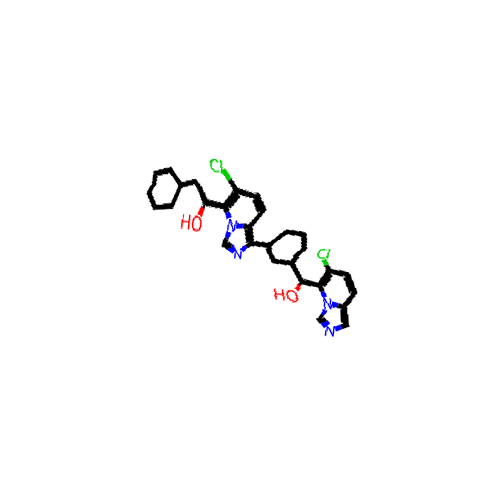 O[C@H](c1c(Cl)ccc2cncn12)C1CCCC(c2ncn3c([C@@H](O)CC4CCCCC4)c(Cl)ccc23)C1